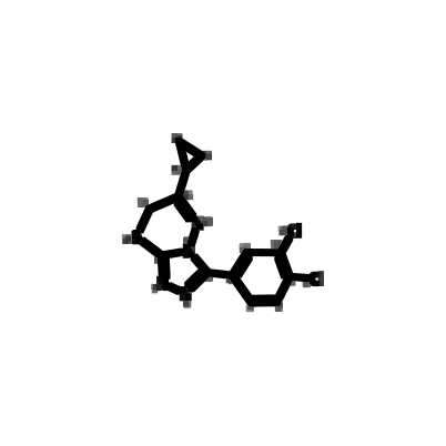 Clc1ccc(-c2nnc3n2N=C(C2CC2)CS3)cc1Cl